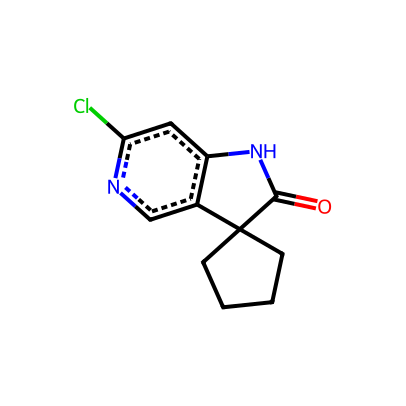 O=C1Nc2cc(Cl)ncc2C12CCCC2